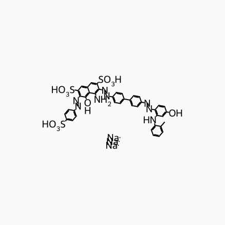 Cc1ccccc1Nc1cc(O)ccc1N=Nc1ccc(-c2ccc(N=Nc3c(S(=O)(=O)O)cc4cc(S(=O)(=O)O)c(N=Nc5ccc(S(=O)(=O)O)cc5)c(O)c4c3N)cc2)cc1.[Na].[Na].[Na]